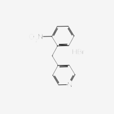 Br.O=[N+]([O-])c1ccccc1Cc1ccncc1